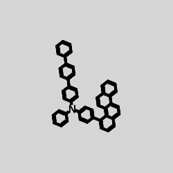 c1ccc(-c2ccc(-c3ccc(N(c4ccccc4)c4ccc(-c5cccc6ccc7c8ccccc8ccc7c56)cc4)cc3)cc2)cc1